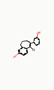 CCC1=C(c2cccc(O)c2)CCCc2cc(O)ccc21